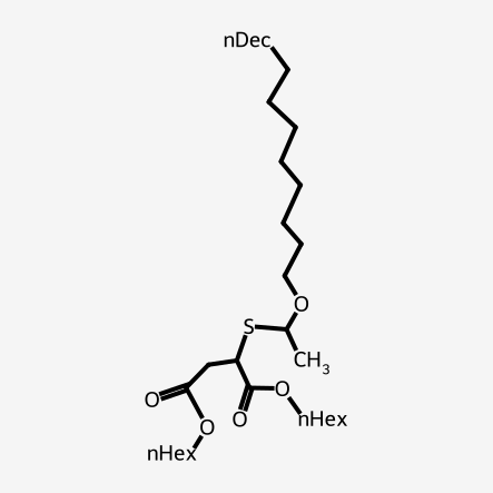 CCCCCCCCCCCCCCCCCCOC(C)SC(CC(=O)OCCCCCC)C(=O)OCCCCCC